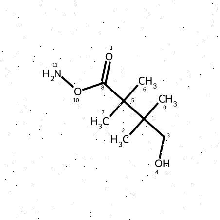 CC(C)(CO)C(C)(C)C(=O)ON